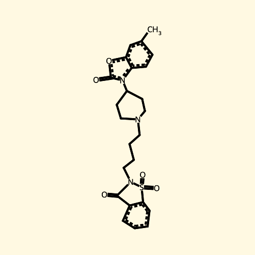 Cc1ccc2c(c1)oc(=O)n2C1CCN(CCCCN2C(=O)c3ccccc3S2(=O)=O)CC1